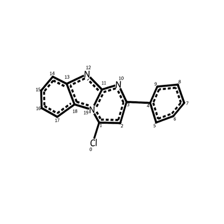 Clc1cc(-c2ccccc2)nc2nc3ccccc3n12